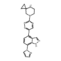 c1cnn(-c2ccc(-c3cnc(N4CCNC5(CC5)C4)nn3)c3cn[nH]c23)c1